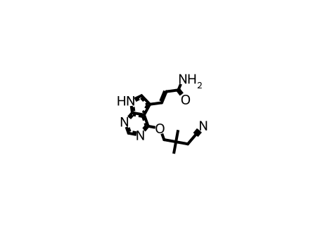 CC(C)(CC#N)COc1ncnc2[nH]cc(/C=C/C(N)=O)c12